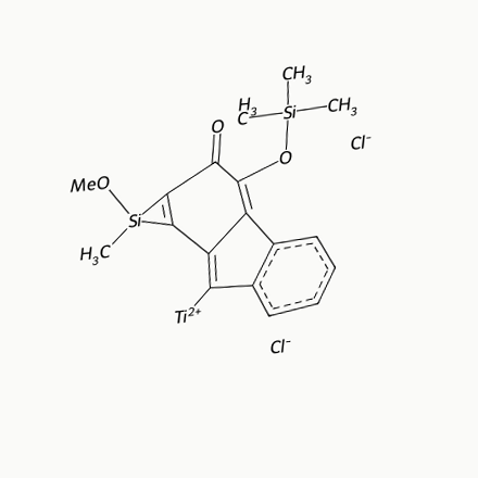 CO[Si]1(C)C2=C1C1=[C]([Ti+2])c3ccccc3C1=C(O[Si](C)(C)C)C2=O.[Cl-].[Cl-]